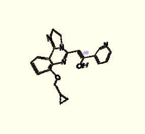 O/C(=C\C1=Nc2c(OCC3CC3)cccc2C2=NCCN12)c1cccnc1